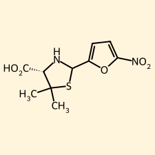 CC1(C)SC(c2ccc([N+](=O)[O-])o2)N[C@H]1C(=O)O